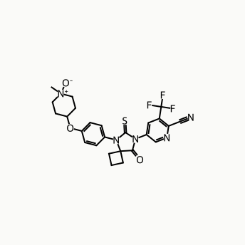 C[N+]1([O-])CCC(Oc2ccc(N3C(=S)N(c4cnc(C#N)c(C(F)(F)F)c4)C(=O)C34CCC4)cc2)CC1